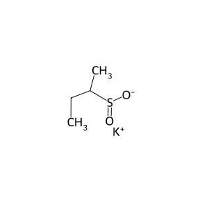 CCC(C)S(=O)[O-].[K+]